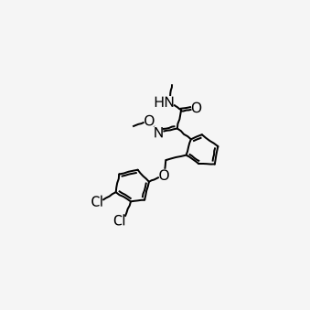 CNC(=O)C(=NOC)c1ccccc1COc1ccc(Cl)c(Cl)c1